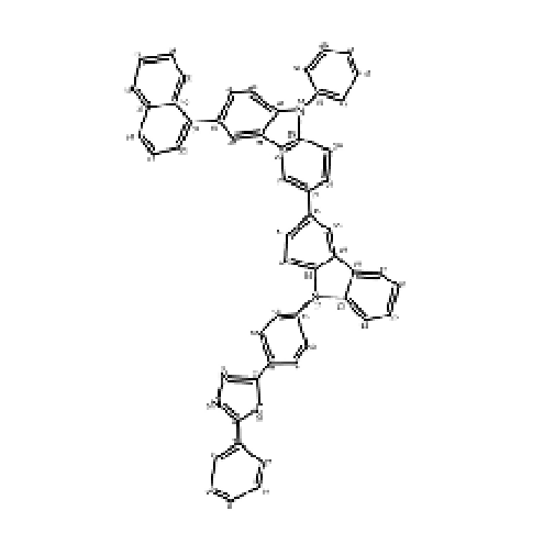 c1ccc(-c2nnc(-c3ccc(-n4c5ccccc5c5cc(-c6ccc7c(c6)c6cc(-c8cccc9ccccc89)ccc6n7-c6ccccc6)ccc54)cc3)o2)cc1